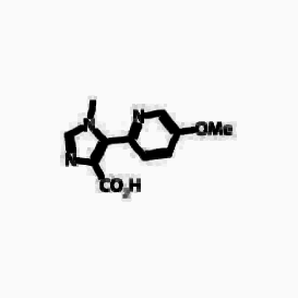 COc1ccc(-c2c(C(=O)O)ncn2C)nc1